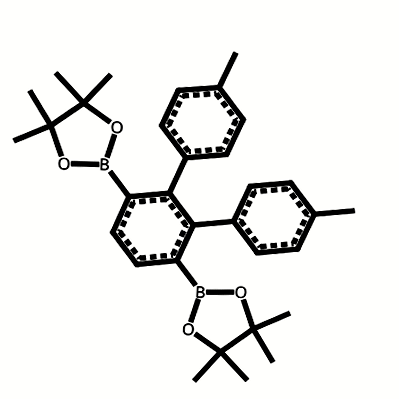 Cc1ccc(-c2c(B3OC(C)(C)C(C)(C)O3)ccc(B3OC(C)(C)C(C)(C)O3)c2-c2ccc(C)cc2)cc1